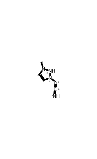 CN1C=CN(N=C=N)N1